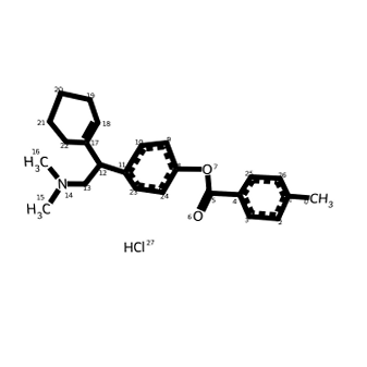 Cc1ccc(C(=O)Oc2ccc(C(CN(C)C)C3=CCCCC3)cc2)cc1.Cl